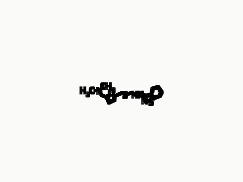 CN(C)Cc1ccc(CSCCNc2nsc3ccccc23)o1